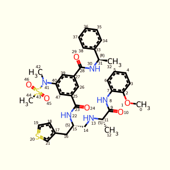 COc1ccccc1NC(=O)[C@H](C)NC[C@H](Cc1ccsc1)NC(=O)c1cc(C(=O)N[C@H](C)c2ccccc2)cc(N(C)S(C)(=O)=O)c1